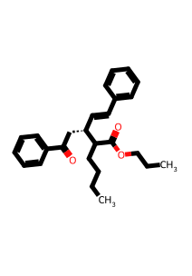 CCCCC(C(=O)OCCC)[C@@H](/C=C/c1ccccc1)CC(=O)c1ccccc1